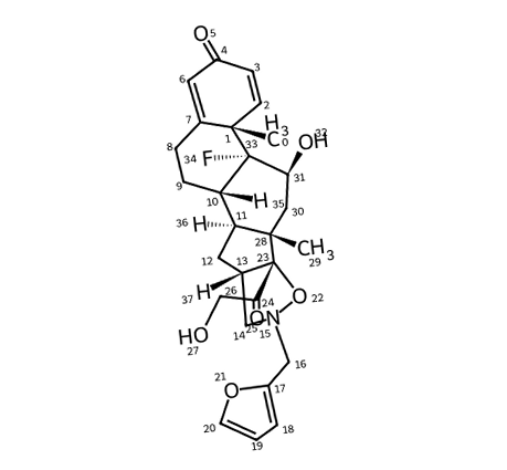 C[C@]12C=CC(=O)C=C1CC[C@H]1[C@@H]3C[C@H]4CN(Cc5ccco5)O[C@@]4(C(=O)CO)[C@@]3(C)C[C@H](O)[C@@]12F